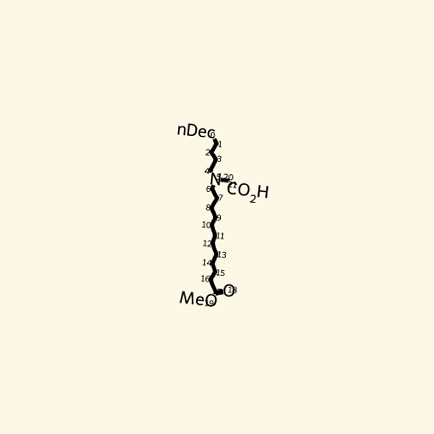 CCCCCCCCCCCCCCN(CCCCCCCCCCCC(=O)OC)CC(=O)O